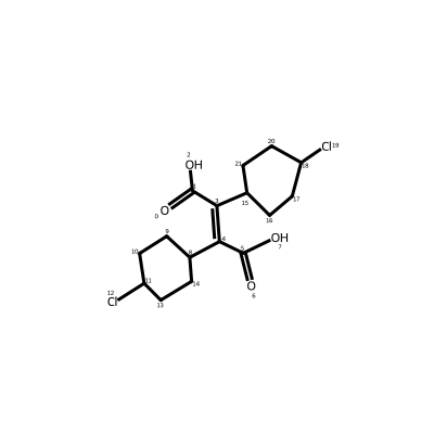 O=C(O)/C(=C(/C(=O)O)C1CCC(Cl)CC1)C1CCC(Cl)CC1